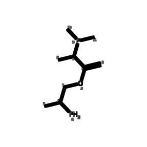 C=C(OCC(C)P)C(C)P(C)C